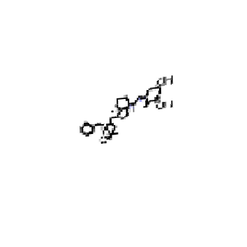 C=C1/C(=C\C=C2/CCC[C@]3(C)C(CC4CC(C)(C=O)ON4Cc4ccccc4)CC[C@@H]23)C[C@@H](O)C[C@@H]1O